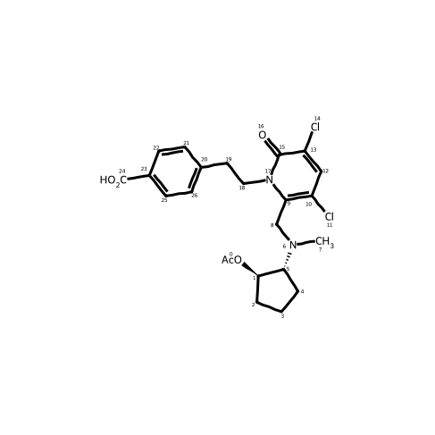 CC(=O)O[C@@H]1CCC[C@H]1N(C)Cc1c(Cl)cc(Cl)c(=O)n1CCc1ccc(C(=O)O)cc1